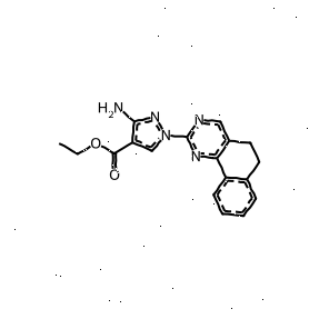 CCOC(=O)c1cn(-c2ncc3c(n2)-c2ccccc2CC3)nc1N